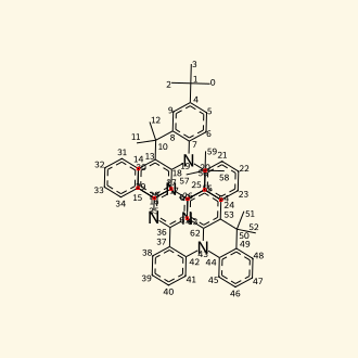 CC(C)(C)c1ccc2c(c1)C(C)(C)c1ccccc1N2c1ccccc1-c1nc(-c2ccccc2)nc(-c2ccccc2N2c3ccccc3C(C)(C)c3cc(C(C)(C)C)ccc32)n1